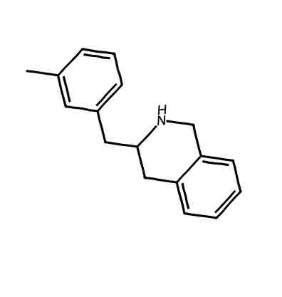 Cc1cccc(CC2Cc3ccccc3CN2)c1